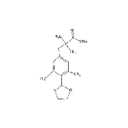 COC(=O)C(C)(C)Cc1cc(C)c(C2OCCO2)c(C)c1